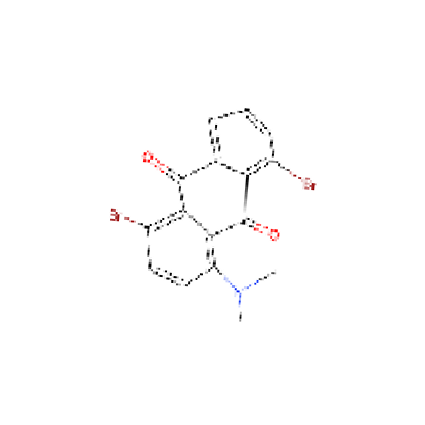 CN(C)c1ccc(Br)c2c1C(=O)c1c(Br)cccc1C2=O